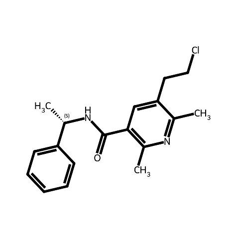 Cc1nc(C)c(C(=O)N[C@@H](C)c2ccccc2)cc1CCCl